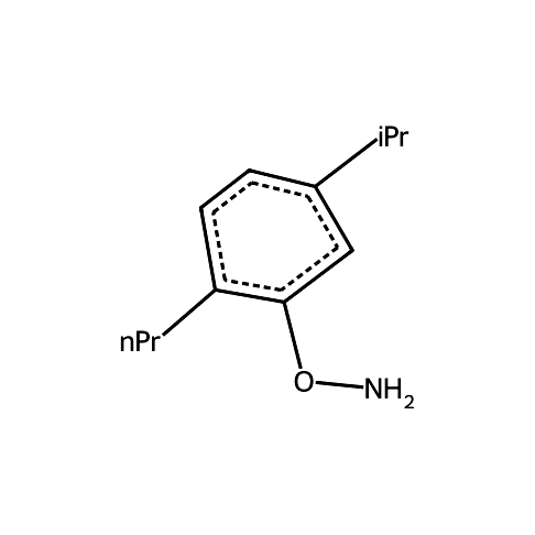 CCCc1ccc(C(C)C)cc1ON